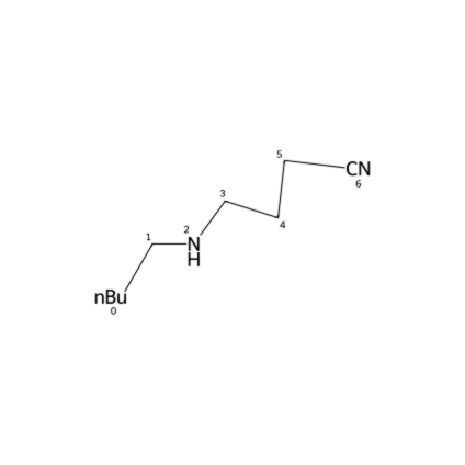 CCCCCNCCCC#N